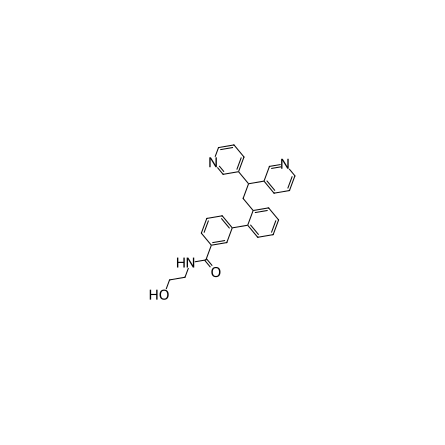 O=C(NCCO)c1cccc(-c2ccccc2CC(c2cccnc2)c2cccnc2)c1